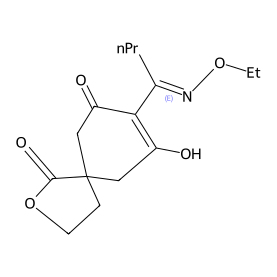 CCC/C(=N\OCC)C1=C(O)CC2(CCOC2=O)CC1=O